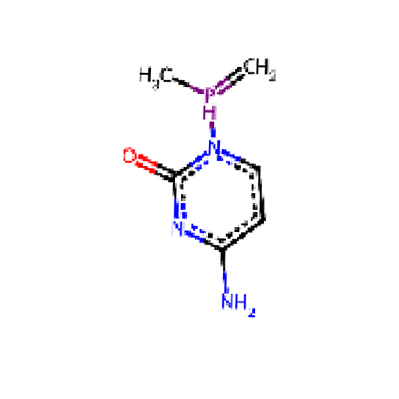 C=[PH](C)n1ccc(N)nc1=O